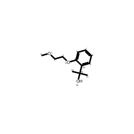 COCCOc1ccccc1C(C)(C)O